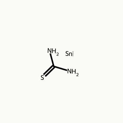 NC(N)=S.[Sn]